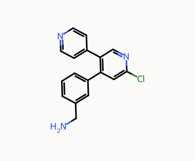 NCc1cccc(-c2cc(Cl)ncc2-c2ccncc2)c1